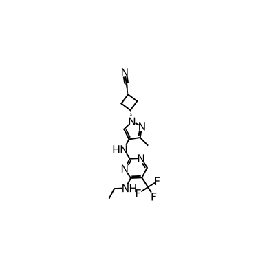 CCNc1nc(Nc2cn([C@H]3C[C@H](C#N)C3)nc2C)ncc1C(F)(F)F